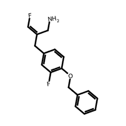 NC/C(=C\F)Cc1ccc(OCc2ccccc2)c(F)c1